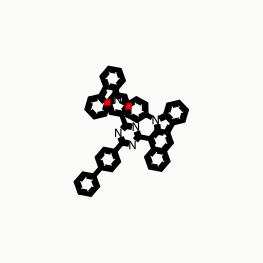 c1ccc(-c2ccc(-c3nc(-c4ccccc4)nc(-c4c5ccccc5cc5c6ccccc6n(-c6ccc(-n7c8ccccc8c8ccccc87)cc6)c45)n3)cc2)cc1